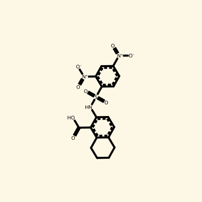 O=C(O)c1c(NS(=O)(=O)c2ccc([N+](=O)[O-])cc2[N+](=O)[O-])ccc2c1CCCC2